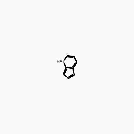 [C]1=CC=C2C=CC=C2[AsH]1